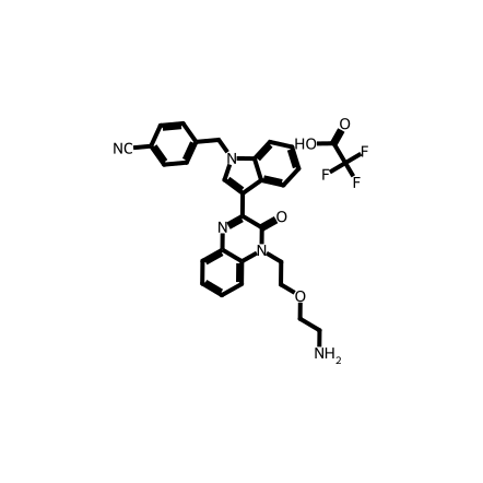 N#Cc1ccc(Cn2cc(-c3nc4ccccc4n(CCOCCN)c3=O)c3ccccc32)cc1.O=C(O)C(F)(F)F